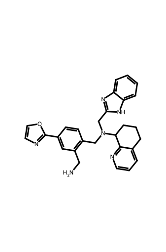 NCc1cc(-c2ncco2)ccc1CN(Cc1nc2ccccc2[nH]1)C1CCCc2cccnc21